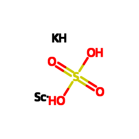 O=S(=O)(O)O.[KH].[Sc]